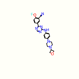 N#Cc1cc(-c2ncnc(Nc3ccc(N4CCN(C5COC5)CC4)cc3)n2)ccc1OF